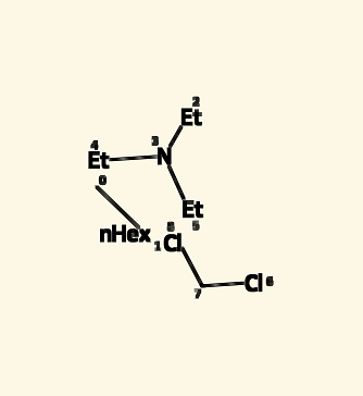 CCCCCCC.CCN(CC)CC.ClCCl